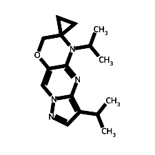 CC(C)c1cnn2cc3c(nc12)N(C(C)C)C1(CC1)CO3